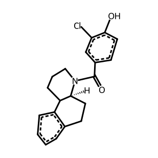 O=C(c1ccc(O)c(Cl)c1)N1CCCC2c3ccccc3CC[C@@H]21